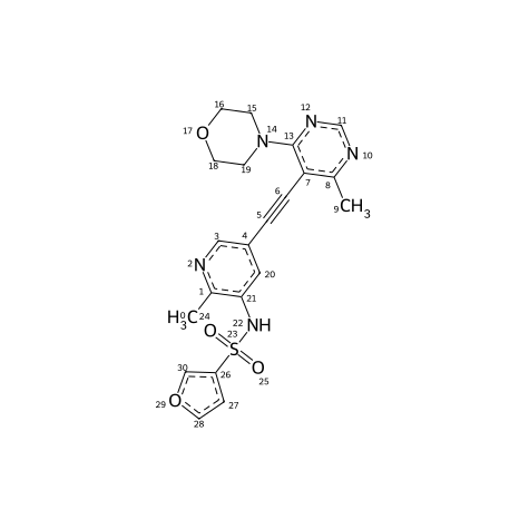 Cc1ncc(C#Cc2c(C)ncnc2N2CCOCC2)cc1NS(=O)(=O)c1ccoc1